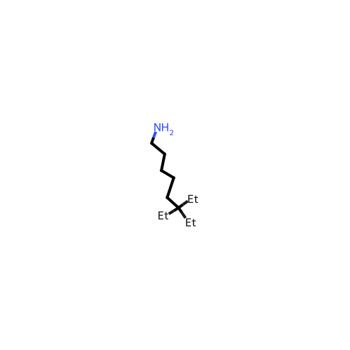 CCC(CC)(CC)CCCCCN